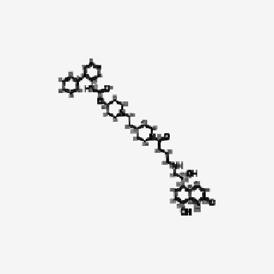 O=C(Nc1ccccc1-c1ccccc1)OC1CCN(CCC2CCN(C(=O)CCCNC[C@H](O)c3ccc(O)c4[nH]c(=O)ccc34)CC2)CC1